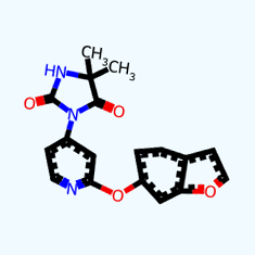 CC1(C)NC(=O)N(c2ccnc(Oc3ccc4ccoc4c3)c2)C1=O